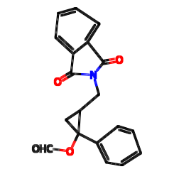 O=COC1(c2ccccc2)CC1CN1C(=O)c2ccccc2C1=O